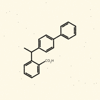 CC(c1ccc(-c2ccccc2)cc1)c1ccccc1C(=O)O